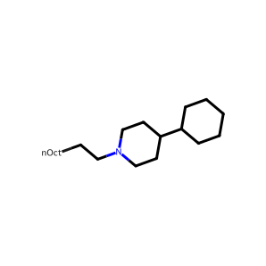 CCCCCCCCCCN1CCC(C2CCCCC2)CC1